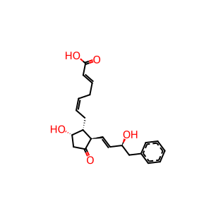 O=C(O)/C=C/C/C=C\C[C@H]1[C@@H](O)CC(=O)[C@@H]1/C=C/[C@@H](O)Cc1ccccc1